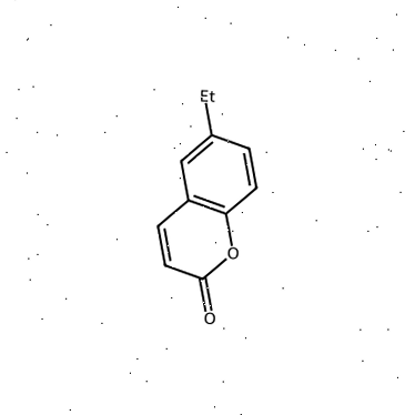 CCc1ccc2oc(=O)ccc2c1